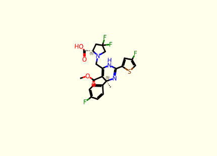 COC(=O)C1=C(CN2CC(F)(F)C[C@H]2C(=O)O)NC(c2cc(F)cs2)=N[C@@]1(C)c1ccc(F)cc1